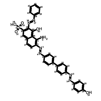 Nc1c(N=Nc2ccc(-c3ccc(N=Nc4ccc(O)cc4)cc3)cc2)ccc2cc(S(=O)(=O)O)c(N=Nc3ccccc3)c(O)c12